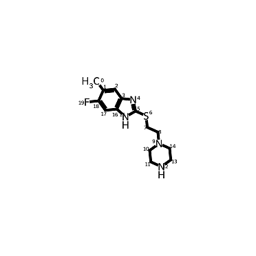 Cc1cc2nc(SCCN3CCNCC3)[nH]c2cc1F